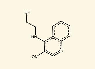 O=Nc1cnc2ccccc2c1NCCO